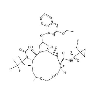 CCOc1cc2ccccc2c(O[C@@H]2C[C@H]3C(=O)N[C@]4(C(=O)NS(=O)(=O)C5(CF)CC5)C[C@H]4C=CCC[C@H](C)C[C@@H](C)[C@H](N(C(=O)O)C(C)(C)C(F)(F)F)C(=O)N3C2)n1